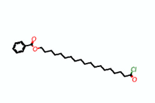 O=C(Cl)CCCCCCCCCCCCCCCCCCOC(=O)c1ccccc1